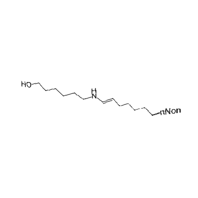 CCCCCCCCCCCCCCC=CNCCCCCCO